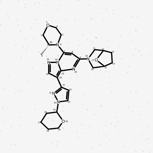 C[C@@H]1COCCN1c1cc(N2CC3CCC(C2)O3)nc2c(-c3ccn(C4CCCCO4)n3)cnn12